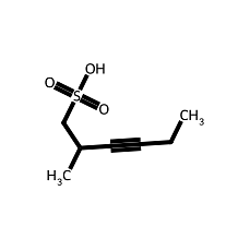 CCC#CC(C)CS(=O)(=O)O